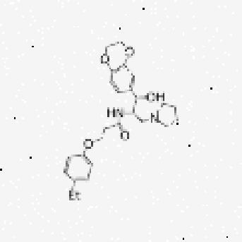 CCc1ccc(OCCC(=O)N[C@H](CN2CCCC2)[C@H](O)c2ccc3c(c2)OCCO3)cc1